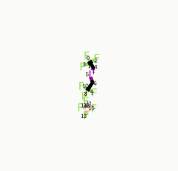 FC(F)(F)C[I+]CC(F)(F)F.F[B-](F)(F)F